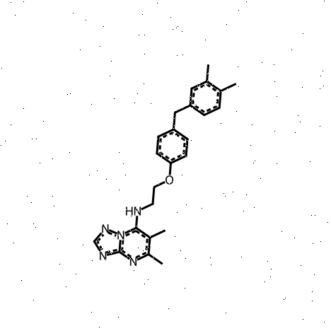 Cc1ccc(Cc2ccc(OCCNc3c(C)c(C)nc4ncnn34)cc2)cc1C